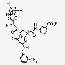 CCOC(=O)c1cccc(NC(=O)N[C@]2(C)C[C@@H](C(=O)N[C@@H](CC)B3O[C@@H]4C[C@@H]5C[C@@H](C5(C)C)[C@]4(C)O3)n3c2nc(NCc2cccc(C(F)(F)F)c2)cc3=O)c1